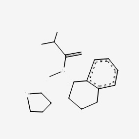 O=C(C(F)F)N(C[C@@H]1CCCN1)[C@H]1CCCc2ccccc21